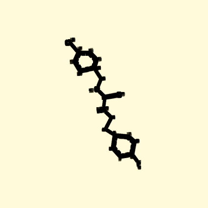 O=C(NCCc1ccc(F)cc1)OCc1ccc(Cl)cc1